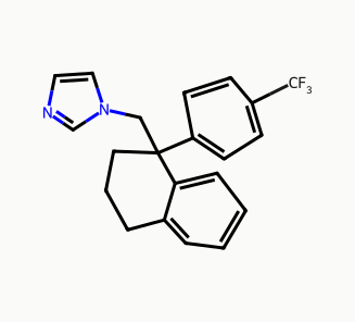 FC(F)(F)c1ccc(C2(Cn3ccnc3)CCCc3ccccc32)cc1